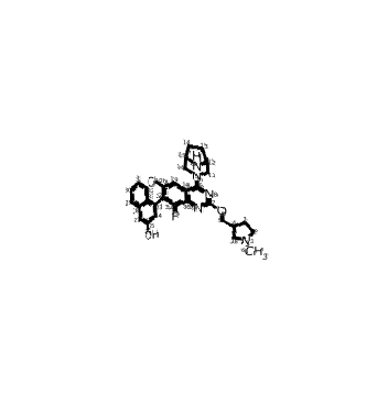 CN1CCC(COc2nc(N3CC4CCC(C3)N4)c3cc(Cl)c(-c4cc(O)cc5ccccc45)c(F)c3n2)C1